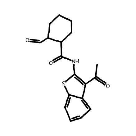 CC(=O)c1c(NC(=O)C2CCCCC2C=O)sc2ccccc12